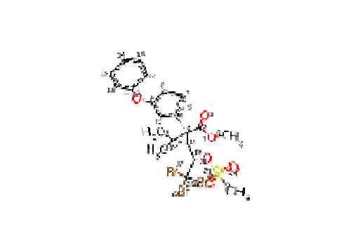 COC(=O)[C@@]1(c2cccc(Oc3ccccc3)c2)[C@H]([C@H](OS(C)(=O)=O)C(Br)(Br)Br)C1(C)C